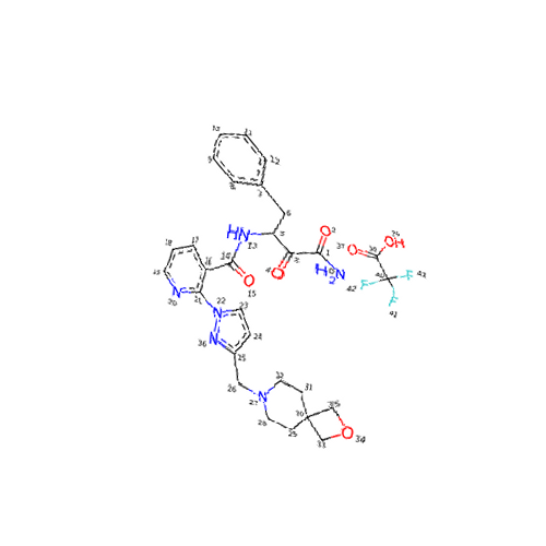 NC(=O)C(=O)C(Cc1ccccc1)NC(=O)c1cccnc1-n1ccc(CN2CCC3(CC2)COC3)n1.O=C(O)C(F)(F)F